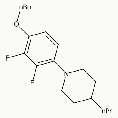 CCCCOc1ccc(N2CCC(CCC)CC2)c(F)c1F